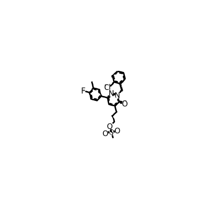 Cc1cc(-c2cc(CCCOS(C)(=O)=O)c(=O)n(Cc3ccccc3Cl)n2)ccc1F